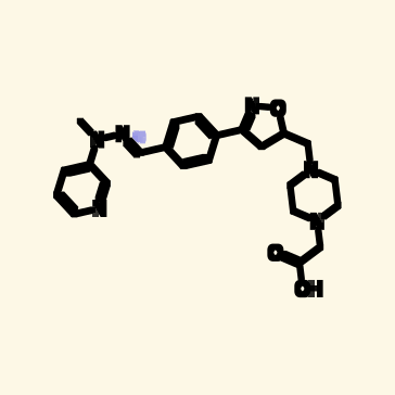 CN(/N=C/c1ccc(C2=NOC(CN3CCN(CC(=O)O)CC3)C2)cc1)c1cccnc1